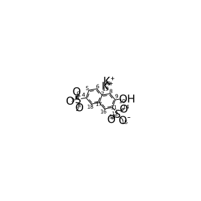 O=S(=O)([O-])c1ccc2cc(O)c(S(=O)(=O)[O-])cc2c1.[K+].[K+]